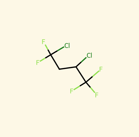 FC(F)(Cl)CC(Cl)C(F)(F)F